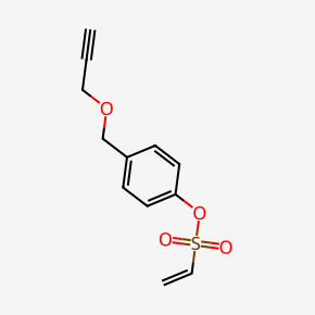 C#CCOCc1ccc(OS(=O)(=O)C=C)cc1